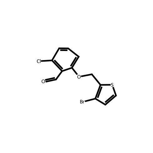 O=Cc1c(Cl)cccc1OCc1sccc1Br